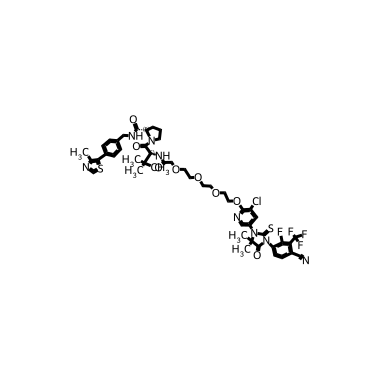 Cc1ncsc1-c1ccc(CNC(=O)[C@@H]2CCCN2C(=O)[C@@H](NC(=O)COCCOCCOCCOc2ncc(N3C(=S)N(c4ccc(C#N)c(C(F)(F)F)c4F)C(=O)C3(C)C)cc2Cl)C(C)(C)C)cc1